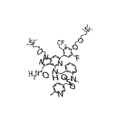 Cc1ccc(S(=O)(=O)N(C)c2ccccc2CNc2nc(-c3cc(F)c(OCOCC[Si](C)(C)C)cc3CC(F)(F)F)cc3c2c(C(N)=O)nn3COCC[Si](C)(C)C)cn1